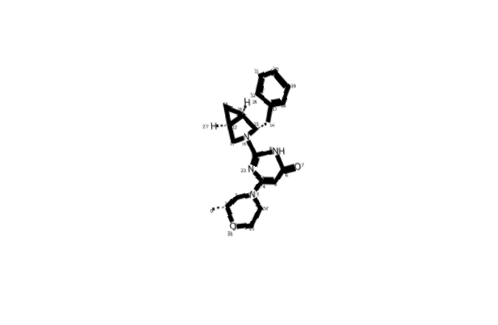 C[C@@H]1CN(c2cc(=O)[nH]c(N3C[C@H]4C[C@H]4[C@@H]3Cc3ccccc3)n2)CCO1